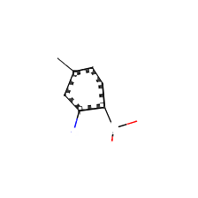 CC(C)c1ccc(B(O)O)c(N)c1